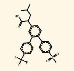 CC(C)CC(C(=O)O)c1ccc(-c2ccc(S(C)(=O)=O)cc2)c(-c2ccc(C(F)(F)F)cc2)c1